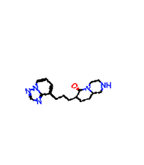 O=C1C(CCCc2cccn3ncnc23)CCC2CNCCN12